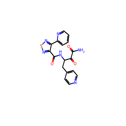 NC(=O)C(=O)C(Cc1ccncc1)NC(=O)c1nsnc1-c1ccccn1